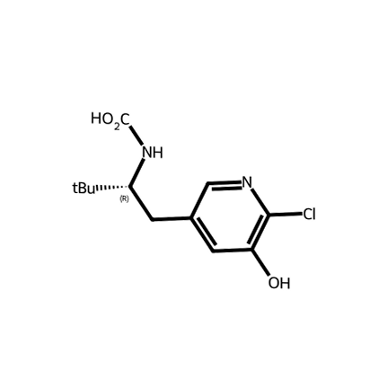 CC(C)(C)[C@@H](Cc1cnc(Cl)c(O)c1)NC(=O)O